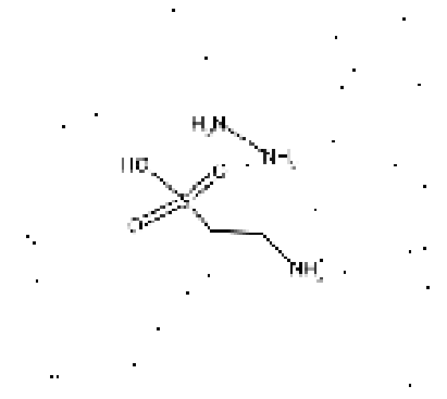 NCCS(=O)(=O)O.NN